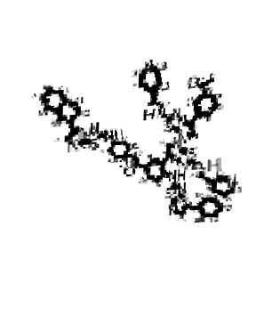 CC(=O)c1cccc(-c2cnc3sc(NCCc4ccncc4)nn23)c1.O=C(CC1(O)CCC(Nc2nn3c(-c4ccc5ccccc5c4)cnc3s2)CC1)c1ccc(Nc2nn3c(-c4ccccc4)cnc3s2)c(-c2cnc3sc(NCc4cccnc4)nn23)c1